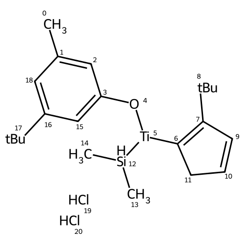 Cc1cc([O][Ti]([C]2=C(C(C)(C)C)C=CC2)[SiH](C)C)cc(C(C)(C)C)c1.Cl.Cl